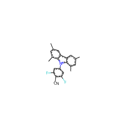 Cc1cc(C)c2c(c1)c1cc(C)cc(C)c1n2-c1cc(F)c(C#N)c(F)c1